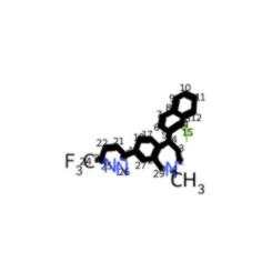 CN1CCC(c2ccc3ccccc3c2F)c2ccc(-c3ccc(C(F)(F)F)nn3)cc2C1